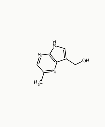 Cc1cnc2[nH]cc(CO)c2n1